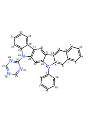 c1ccc(-n2c3cc4ccccc4cc3c3cc4c5ccccc5n(-c5ncncn5)c4cc32)cc1